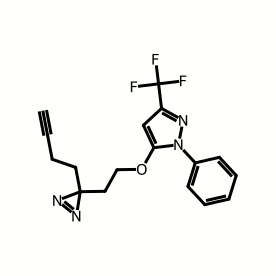 C#CCCC1(CCOc2cc(C(F)(F)F)nn2-c2ccccc2)N=N1